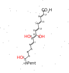 CCCCCC(O)CCC/C=C/C(O)=C(O)/C=C/C=C/C=C/C(=O)O